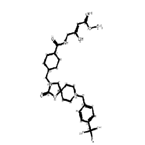 COC(=N)/C=C(\O)CNC(=O)C1CCC(CN2CC3(CCN(Cc4ccc(C(F)(F)F)cc4)CC3)OC2=O)CC1